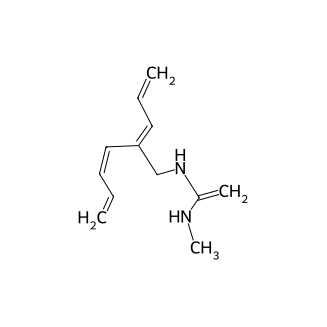 C=C/C=C\C(=C/C=C)CNC(=C)NC